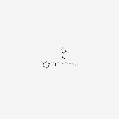 CC(=O)CCCCC[C@H](NC(=O)c1snnc1C)C(=O)Nc1cc(Cl)cc(Cl)c1